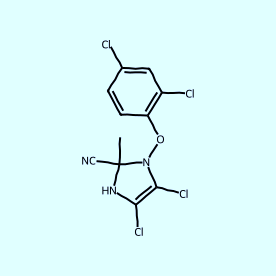 CC1(C#N)NC(Cl)=C(Cl)N1Oc1ccc(Cl)cc1Cl